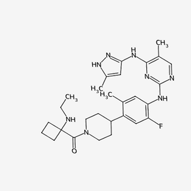 CCNC1(C(=O)N2CCC(c3cc(F)c(Nc4ncc(C)c(Nc5cc(C)[nH]n5)n4)cc3C)CC2)CCC1